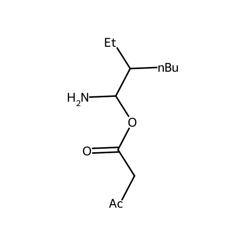 CCCCC(CC)C(N)OC(=O)CC(C)=O